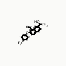 CC(O)c1ccc2ccc(O[C@H]3CC[C@@H](C(F)(F)F)CC3)c(CF)c2c1